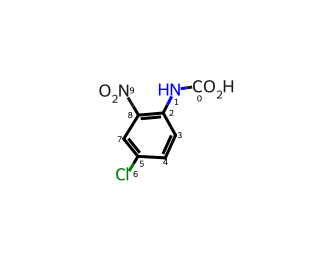 O=C(O)Nc1ccc(Cl)cc1[N+](=O)[O-]